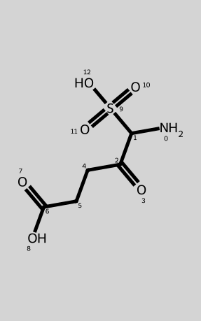 NC(C(=O)CCC(=O)O)S(=O)(=O)O